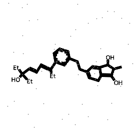 CC/C(=C\C=C\C(O)(CC)CC)c1cccc(CCC2=CCC3=C(O)C(C)C(O)C3=C2)c1